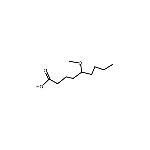 CCCCC(CCCC(=O)O)OC